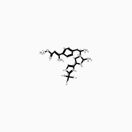 COC(=O)C=C(C)c1ccc(CC(C)N2CC(c3csc(C(F)(F)F)n3)OC2C)cc1